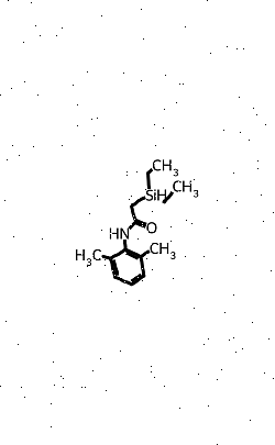 CC[SiH](CC)CC(=O)Nc1c(C)cccc1C